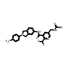 CC(C)C(=O)NCc1cnc(C(F)F)c(C(=O)Nc2ccc3c(c2)CN(c2ccc(C(F)(F)F)cc2)C3)c1